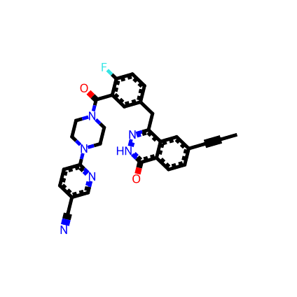 CC#Cc1ccc2c(=O)[nH]nc(Cc3ccc(F)c(C(=O)N4CCN(c5ccc(C#N)cn5)CC4)c3)c2c1